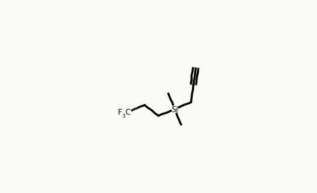 C#CC[Si](C)(C)CCC(F)(F)F